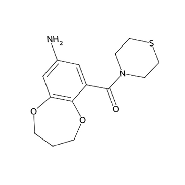 Nc1cc2c(c(C(=O)N3CCSCC3)c1)OCCCO2